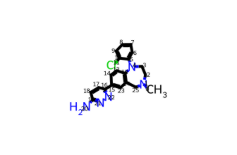 CN1CCN(c2ccccc2Cl)c2ccc(-c3ccc(N)nn3)cc2C1